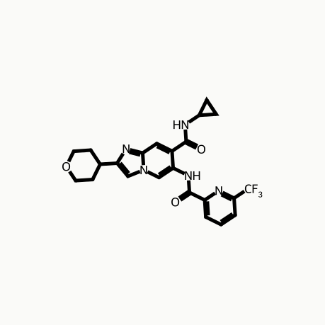 O=C(Nc1cn2cc(C3CCOCC3)nc2cc1C(=O)NC1CC1)c1cccc(C(F)(F)F)n1